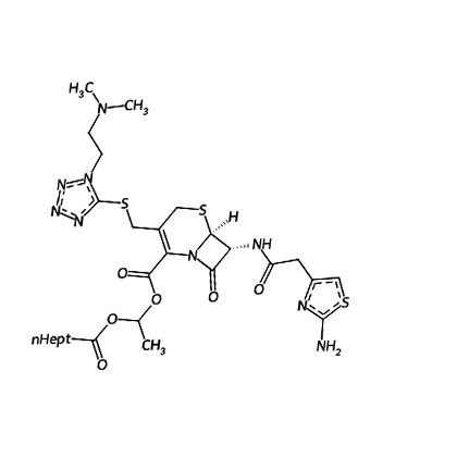 CCCCCCCC(=O)OC(C)OC(=O)C1=C(CSc2nnnn2CCN(C)C)CS[C@H]2[C@H](NC(=O)Cc3csc(N)n3)C(=O)N12